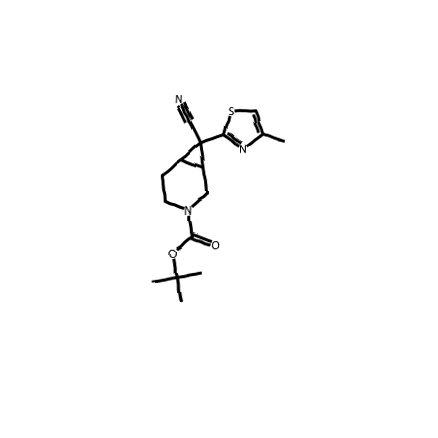 Cc1csc(C2(C#N)C3CCN(C(=O)OC(C)(C)C)CC32)n1